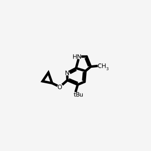 Cc1c[nH]c2nc(OC3CC3)c(C(C)(C)C)cc12